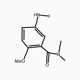 COc1ccc(NI)cc1C(=O)N(C)C